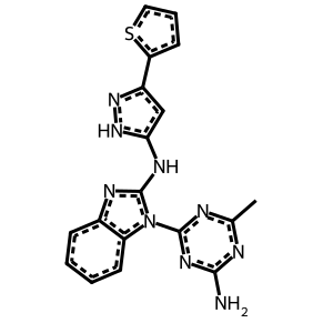 Cc1nc(N)nc(-n2c(Nc3cc(-c4cccs4)n[nH]3)nc3ccccc32)n1